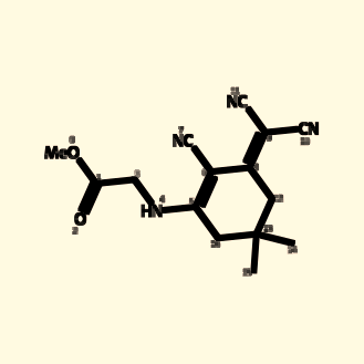 COC(=O)CNC1=C(C#N)C(=C(C#N)C#N)CC(C)(C)C1